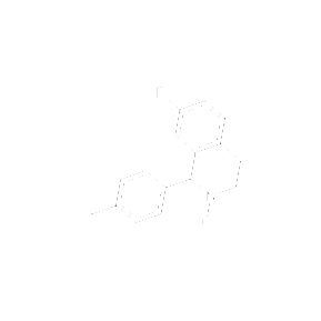 CN1CCc2ccc(F)cc2C1c1ccc(Cl)cc1